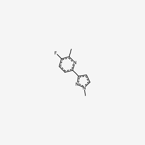 Cc1nc(-c2ccn(C)n2)ccc1F